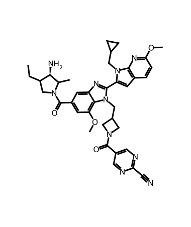 CCC1CN(C(=O)c2cc(OC)c3c(c2)nc(-c2cc4ccc(OC)nc4n2CC2CC2)n3CC2CN(C(=O)c3cnc(C#N)nc3)C2)C(C)[C@@H]1N